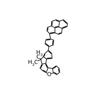 CC1(C)c2cc(-c3ccc(-c4ccc5ccc6cccc7ccc4c5c67)cc3)ccc2-c2c1ccc1oc3ccccc3c21